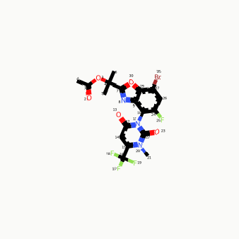 CC(=O)OC(C)(C)c1nc2c(-n3c(=O)cc(C(F)(F)F)n(C)c3=O)c(F)cc(Br)c2o1